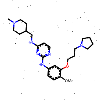 COc1ccc(Nc2nccc(NCC3CCN(C)CC3)n2)cc1OCCCN1CCCC1